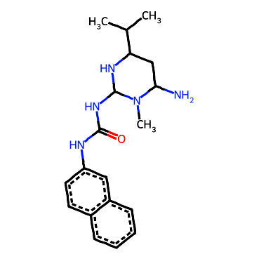 CC(C)C1CC(N)N(C)C(NC(=O)Nc2ccc3ccccc3c2)N1